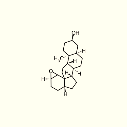 C[C@]12CC[C@@H](O)C[C@H]1CC[C@H]1[C@@H]3CC[C@@H]4CC[C@H]5OC5C43CC[C@@H]12